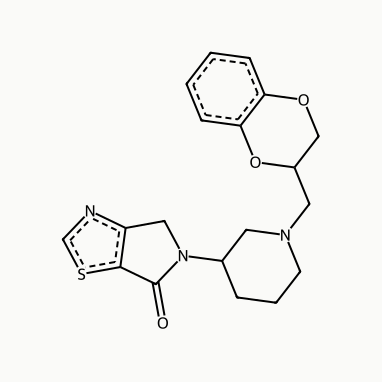 O=C1c2scnc2CN1C1CCCN(CC2COc3ccccc3O2)C1